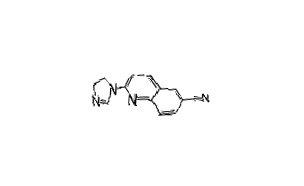 N#Cc1ccc2nc(N3C=NCC3)ccc2c1